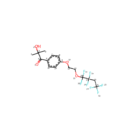 CC(C)(O)C(=O)c1ccc(OCCOC(F)(F)C(F)(F)CC(F)(F)F)cc1